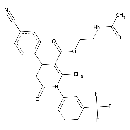 CC(=O)NCCOC(=O)C1=C(C)N(C2=CCCC(C(F)(F)F)=C2)C(=O)CC1c1ccc(C#N)cc1